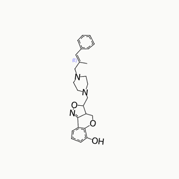 C/C(=C\c1ccccc1)CN1CCN(CC2ON=C3c4cccc(O)c4OCC32)CC1